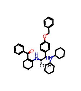 C1CCC(NC2CCCCC2)CC1.O=C(C1=C(N[C@@H](Cc2ccc(OCc3ccccc3)cc2)C(=O)O)CCCC1)c1ccccc1